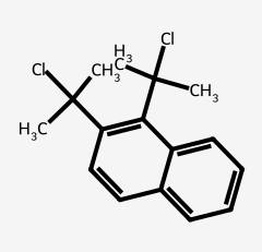 CC(C)(Cl)c1ccc2ccccc2c1C(C)(C)Cl